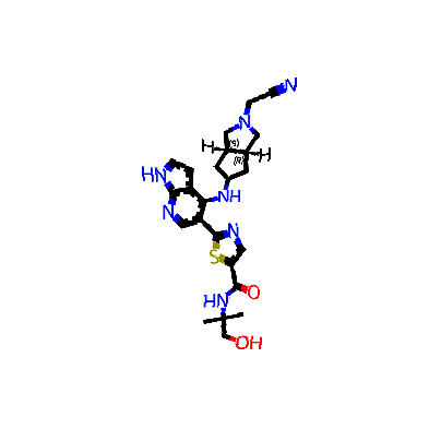 CC(C)(CO)NC(=O)c1cnc(-c2cnc3[nH]ccc3c2NC2C[C@@H]3CN(CC#N)C[C@@H]3C2)s1